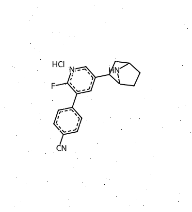 Cl.N#Cc1ccc(-c2cc(C3CC4CCC3N4)cnc2F)cc1